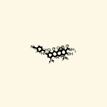 CN(C)c1cc(NCc2ccc(C#N)cc2)c(O)c2c1C[C@H]1C[C@H]3[C@H](N(C)C)C(O)=C(C(N)=O)C(=O)[C@@]3(O)C(O)=C1C2=O